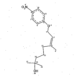 CC(=CCOc1ccc([N+](=O)[O-])cc1)CCCC(C)(C)O